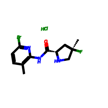 Cc1ccc(Br)nc1NC(=O)[C@@H]1C[C@@](C)(F)CN1.Cl